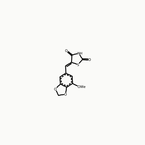 COc1cc(/C=C2\SC(=O)NC2=O)cc2c1OCO2